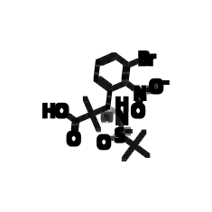 CC(C)(C(=O)O)[C@@H](N[S+]([O-])C(C)(C)C)c1cccc(Br)c1[N+](=O)[O-]